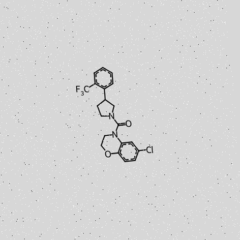 O=C(N1CCC(c2ccccc2C(F)(F)F)C1)N1CCOc2ccc(Cl)cc21